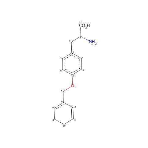 NC(Cc1ccc(OCC2=CCCC=C2)cc1)C(=O)O